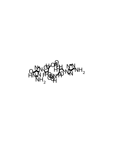 Nc1nc2c(ncn2[C@@H]2O[C@@H]3CO[PH](=O)O[C@H]4C[C@H](n5cnc6c(N)ncnc65)O[C@@H]4CNS(=O)(=O)O[C@H]3[C@H]2F)c(=O)[nH]1